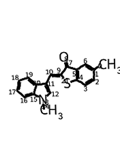 Cc1ccc2c(c1)C(=O)C(=Cc1cn(C)c3ccccc13)S2